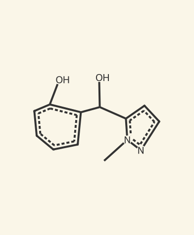 Cn1nccc1C(O)c1ccccc1O